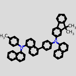 Cc1ccc(N(c2cccc3ccccc23)c2cccc3c(-c4ccc(N(c5ccc6c(c5)C(C)(C)c5ccccc5-6)c5cccc6ccccc56)cc4)cccc23)cc1